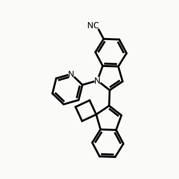 N#Cc1ccc2cc(C3=Cc4ccccc4C34CCC4)n(-c3ccccn3)c2c1